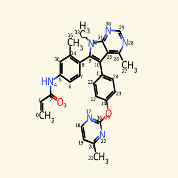 C=CC(=O)Nc1ccc(-c2c(-c3ccc(Oc4nccc(C)n4)cc3)c3c(C)ncnc3n2C)c(C)c1